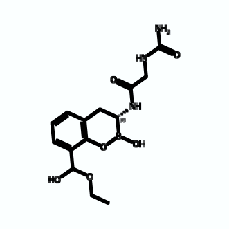 CCOC(O)c1cccc2c1OB(O)[C@@H](NC(=O)CNC(N)=O)C2